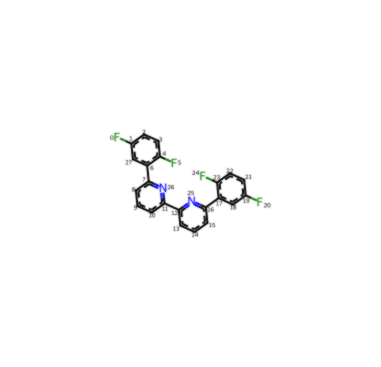 Fc1ccc(F)c(-c2cccc(-c3cccc(-c4cc(F)ccc4F)n3)n2)c1